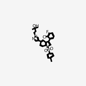 Cc1ccc(S(=O)(=O)n2cc(-c3cccc(F)c3Cl)c3cc(-c4cnn(CCC(C)(C)O)c4)ccc32)cc1